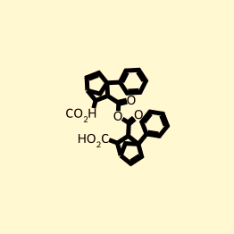 O=C(O)C1C2C=CC(c3ccccc3)(C2)C1C(=O)OC(=O)C1C(C(=O)O)C2C=CC1(c1ccccc1)C2